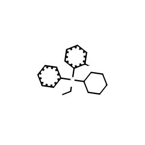 Fc1ccccc1[PH](CC(F)(F)F)(c1ccccc1)C1CCCCC1